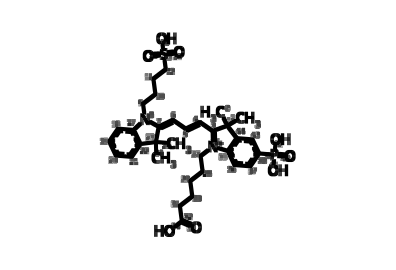 CC1(C)C(/C=C/C=C2/N(CCCCS(=O)(=O)O)c3ccccc3C2(C)C)=[N+](CCCCCC(=O)O)c2ccc(P(=O)(O)O)cc21